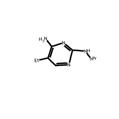 CCCNc1ncc(CC)c(N)n1